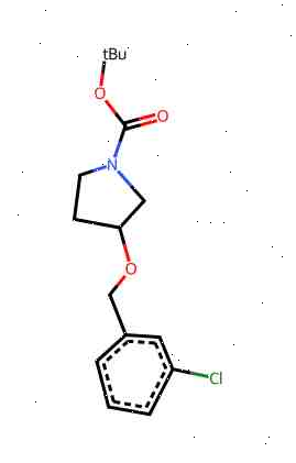 CC(C)(C)OC(=O)N1CCC(OCc2cccc(Cl)c2)C1